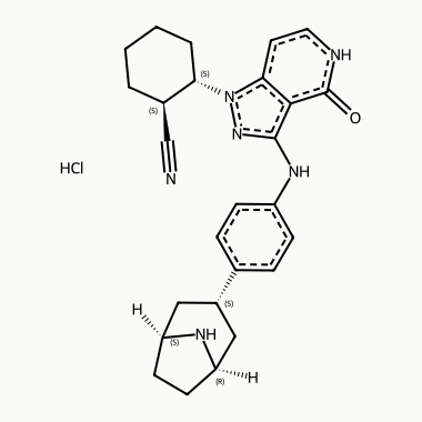 Cl.N#C[C@H]1CCCC[C@@H]1n1nc(Nc2ccc([C@@H]3C[C@H]4CC[C@@H](C3)N4)cc2)c2c(=O)[nH]ccc21